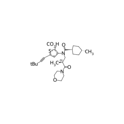 C[C@@H](CN(c1cc(C#CC(C)(C)C)sc1C(=O)O)C(=O)[C@H]1CC[C@H](C)CC1)C(=O)N1CCOCC1